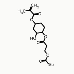 C=C(C)C(=O)OC1CCC(OC(=O)CCOC(=O)C(C)CC)C(O)C1